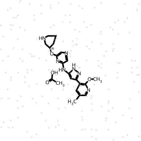 CC(=O)O.COc1ncc(C)cc1-c1cc(Nc2cncc(O[C@@H]3CCCNC3)n2)[nH]n1